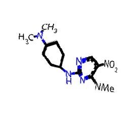 CNc1nc(NC2CCC(N(C)C)CC2)ncc1[N+](=O)[O-]